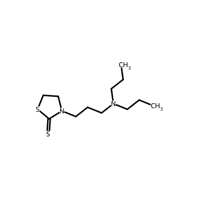 CCCN(CCC)CCCN1CCSC1=S